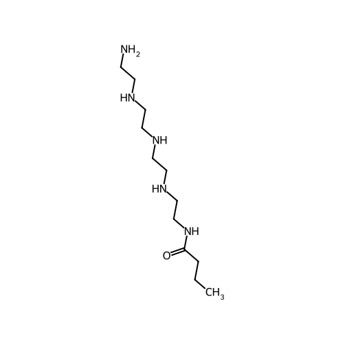 CCCC(=O)NCCNCCNCCNCCN